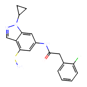 NSc1cc(NC(=O)Cc2ccccc2Cl)cc2c1cnn2C1CC1